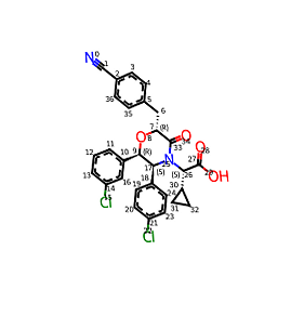 N#Cc1ccc(C[C@H]2O[C@H](c3cccc(Cl)c3)[C@H](c3ccc(Cl)cc3)N([C@H](C(=O)O)C3CC3)C2=O)cc1